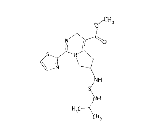 COC(=O)C1=C2CC(NSNC(C)C)CN2C(c2nccs2)=NC1